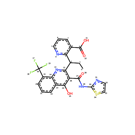 CCC(c1ncccc1C(=O)O)c1nc2c(C(F)(F)F)cccc2c(O)c1C(=O)Nc1nccs1